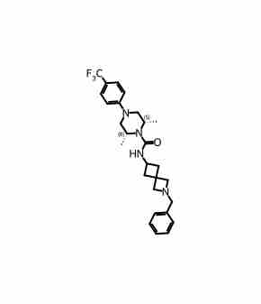 C[C@@H]1CN(c2ccc(C(F)(F)F)cc2)C[C@H](C)N1C(=O)NC1CC2(C1)CN(Cc1ccccc1)C2